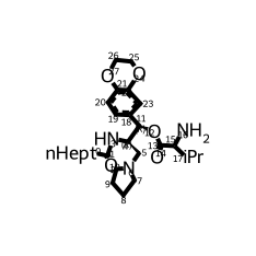 CCCCCCCC(=O)N[C@H](CN1CCCC1)[C@H](OC(=O)C(N)C(C)C)c1ccc2c(c1)OCCO2